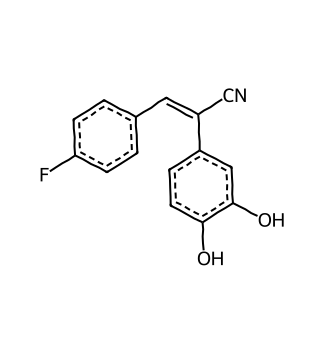 N#CC(=Cc1ccc(F)cc1)c1ccc(O)c(O)c1